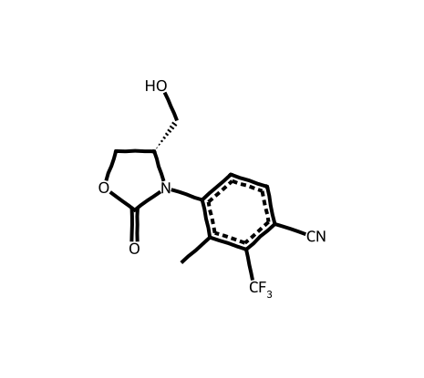 Cc1c(N2C(=O)OC[C@@H]2CO)ccc(C#N)c1C(F)(F)F